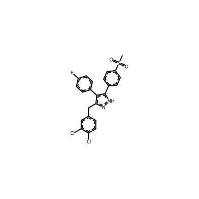 CS(=O)(=O)c1ccc(-c2[nH]nc(Cc3ccc(Cl)c(Cl)c3)c2-c2ccc(F)cc2)cc1